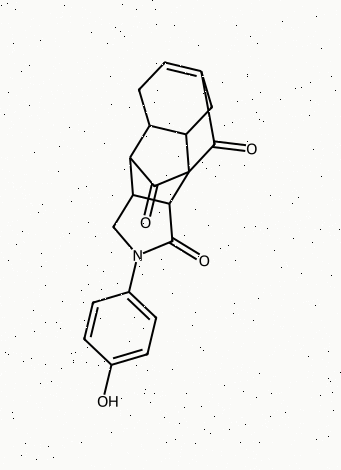 O=C1C2C(CN1c1ccc(O)cc1)C1C(=O)C23C(=O)C2=CCC1C3C2